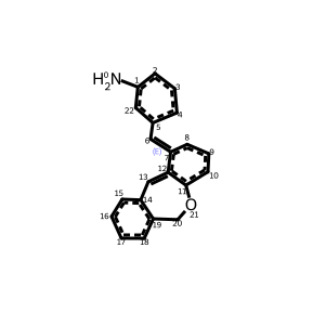 Nc1cccc(/C=c2\cccc3c2=Cc2ccccc2CO3)c1